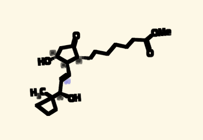 COC(=O)CCCCCC[C@H]1C(=O)C[C@@H](O)[C@@H]1/C=C/[C@@H](O)C1(C)CCC1